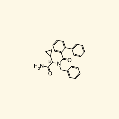 NC(=O)[C@H](C1CC1)N(Cc1ccccc1)C(=O)c1ccccc1-c1ccccc1